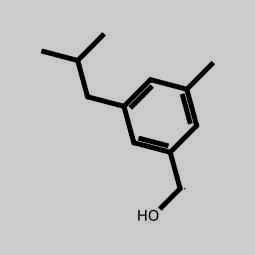 Cc1cc([CH]O)cc(CC(C)C)c1